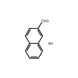 O=Cc1ccc2ccccc2c1.[KH]